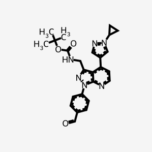 CC(C)(C)OC(=O)NCc1nn(-c2ccc(C=O)cc2)c2nccc(-c3cnn(C4CC4)c3)c12